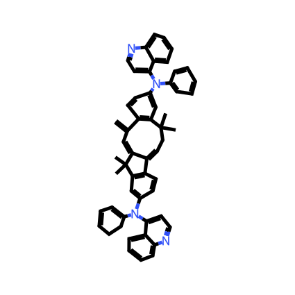 C=C1/C=C2\C(=C/CC(C)(C)c3cc(N(c4ccccc4)c4ccnc5ccccc45)ccc31)c1ccc(N(C3=CC=CCC3)c3ccnc4ccccc34)cc1C2(C)C